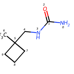 NC(=O)NCC1(C(F)(F)F)CCC1